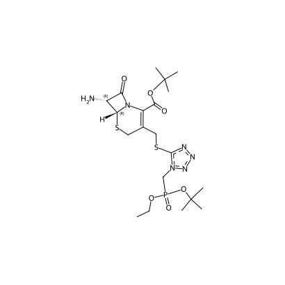 CCOP(=O)(Cn1nnnc1SCC1=C(C(=O)OC(C)(C)C)N2C(=O)[C@@H](N)[C@H]2SC1)OC(C)(C)C